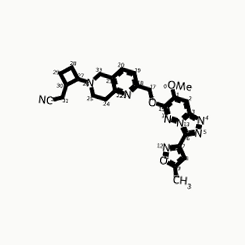 COc1cc2nnc(-c3cc(C)on3)n2nc1OCc1ccc2c(n1)CCN(C1CCC1CC#N)C2